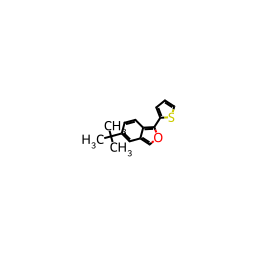 CC(C)(C)c1ccc2c(-c3cccs3)occ2c1